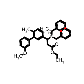 CCOC(=O)CC(c1ccc(C)c(-c2cccc(OC)c2)c1)N(Cc1ccccc1)[C@H](C)c1ccccc1